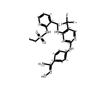 CCS(=O)(=O)Nc1ncccc1CNc1nc(Nc2ccc(C(N)=NO)cc2)ncc1C(F)(F)F